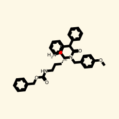 COc1ccc(CN(C(=O)C(c2ccccc2)c2ccccc2)[C@H](CCCNC(=O)OCc2ccccc2)C(N)=O)cc1